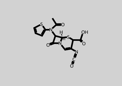 CC(=O)N(c1cccs1)C1C(=O)N2C=C(N=C=O)C(C(=O)O)S[C@H]12